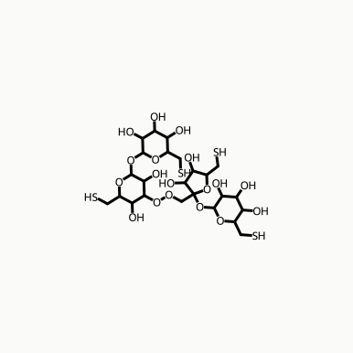 OC1C(CS)OC(OC2OC(CS)C(O)C(OOCC3(OC4OC(CS)C(O)C(O)C4O)OC(CS)C(O)C3O)C2O)C(O)C1O